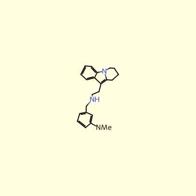 CNc1cccc(CNCCc2c3n(c4ccccc24)CCCC3)c1